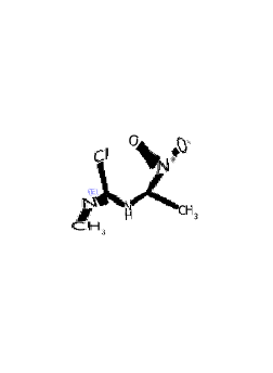 C/N=C(/Cl)NC(C)[N+](=O)[O-]